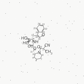 CC(C#N)C(=O)N1CCCC[C@@H]1COC(=O)N[C@@H](Cc1coc2ccccc12)B(O)O